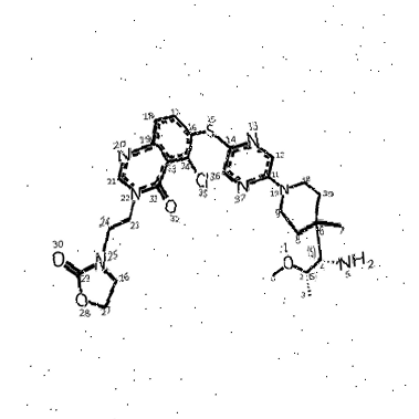 CO[C@@H](C)[C@@H](N)C1(C)CCN(c2cnc(Sc3ccc4ncn(CCN5CCOC5=O)c(=O)c4c3Cl)cn2)CC1